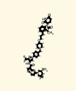 Cn1c(=O)n(C2CCC(=O)NC2=O)c2cccc(CCCOC3CCN(CC4CCC(n5cc(NC(=O)c6cnn7ccc(N8C[C@H](N)CC(F)(F)C8)nc67)c(C(F)F)n5)CC4)CC3)c21